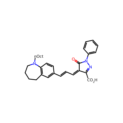 CCCCCCCCN1CCCCc2cc(/C=C/C=C3\C(=O)N(c4ccccc4)N=C3C(=O)O)ccc21